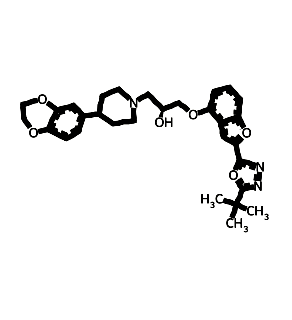 CC(C)(C)c1nnc(-c2cc3c(OC[C@@H](O)CN4CCC(c5ccc6c(c5)OCCO6)CC4)cccc3o2)o1